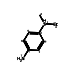 CC[SH](C)c1ccc(N)cc1